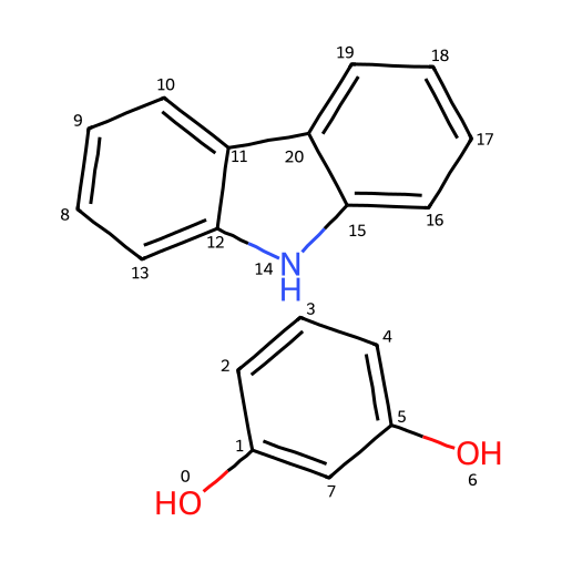 Oc1cccc(O)c1.c1ccc2c(c1)[nH]c1ccccc12